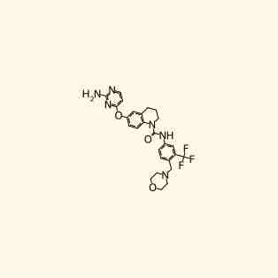 Nc1nccc(Oc2ccc3c(c2)CCCN3C(=O)Nc2ccc(CN3CCOCC3)c(C(F)(F)F)c2)n1